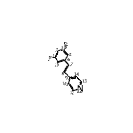 Fc1cc(F)cc(C=Cc2ccncc2)c1